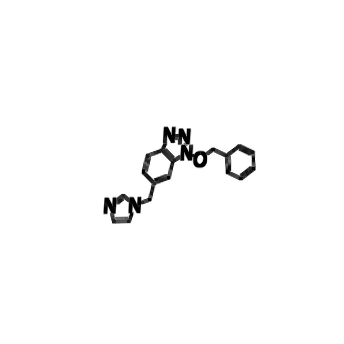 c1ccc(COn2nnc3ccc(Cn4ccnc4)cc32)cc1